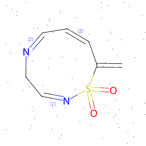 C=C1/C=C\C=N/C/C=N\S1(=O)=O